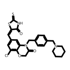 O=C1NC(=S)SC1=Cc1cc(Cl)c2c(c1)N(Cc1ccc(CN3CCCCC3)cc1)C(=O)CO2